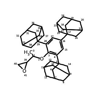 CC(Oc1c(C23CC4CC(CC(C4)C2)C3)cc(C23CC4CC(CC(C4)C2)C3)cc1C12CC3CC(CC(C3)C1)C2)C1CO1